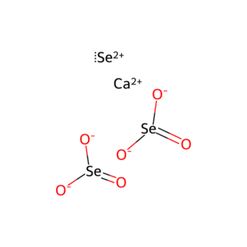 O=[Se]([O-])[O-].O=[Se]([O-])[O-].[Ca+2].[Se+2]